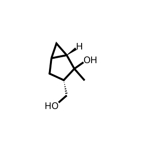 CC1(O)[C@H](CO)CC2C[C@@H]21